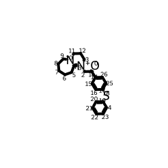 O=C(C[N+]1=C2CCCCCN2CCC1)c1ccc(Sc2ccccc2)cc1